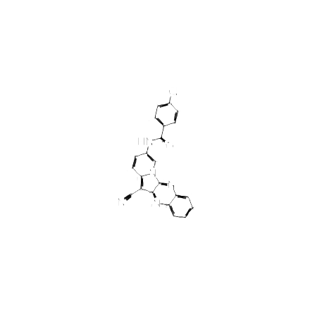 N#Cc1c2nc3ccccc3nc2n2cc(NC(=O)c3ccc(Cl)cc3)ccc12